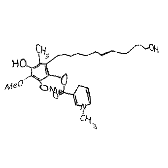 COc1c(O)c(C)c(CCCCCCCCCCO)c(OC(=O)C2=CN(C)C=CC2)c1OC